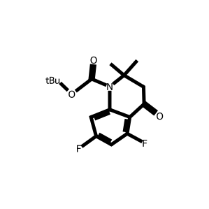 CC(C)(C)OC(=O)N1c2cc(F)cc(F)c2C(=O)CC1(C)C